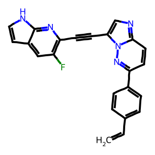 C=Cc1ccc(-c2ccc3ncc(C#Cc4nc5[nH]ccc5cc4F)n3n2)cc1